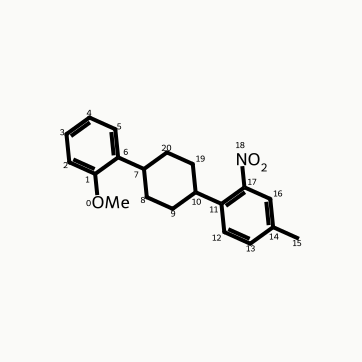 COc1ccccc1C1CCC(c2ccc(C)cc2[N+](=O)[O-])CC1